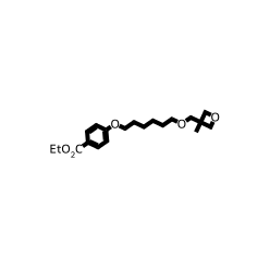 CCOC(=O)c1ccc(OCCCCCCOCC2(C)COC2)cc1